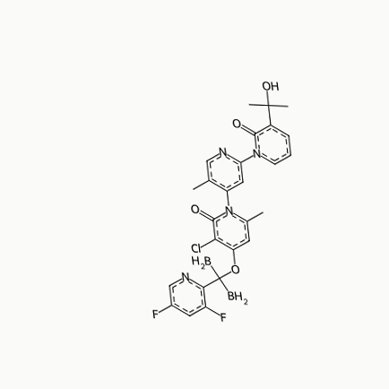 BC(B)(Oc1cc(C)n(-c2cc(-n3cccc(C(C)(C)O)c3=O)ncc2C)c(=O)c1Cl)c1ncc(F)cc1F